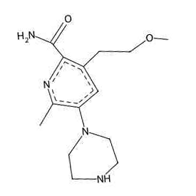 COCCc1cc(N2CCNCC2)c(C)nc1C(N)=O